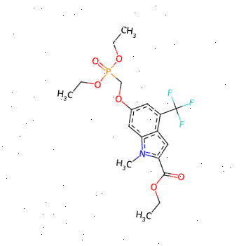 CCOC(=O)c1cc2c(C(F)(F)F)cc(OCP(=O)(OCC)OCC)cc2n1C